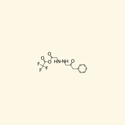 O=C(CNNCC(=O)OC(=O)C(F)(F)F)Cc1ccccc1